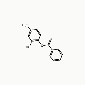 Cc1ccc(OC(=O)c2ccccc2)c(O)c1